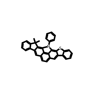 CC1(C)c2ccccc2-c2cc3ccc4cc5c6ccccc6sc5c5c4c3c(c21)n5-c1ccccc1